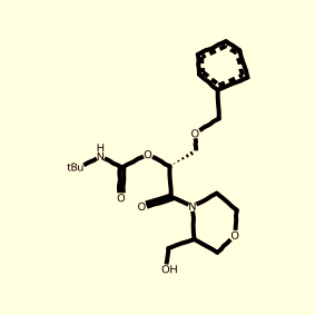 CC(C)(C)NC(=O)O[C@H](COCc1ccccc1)C(=O)N1CCOCC1CO